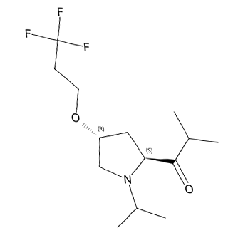 CC(C)C(=O)[C@@H]1C[C@@H](OCCC(F)(F)F)CN1C(C)C